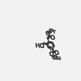 CC(C)OC(=O)C[C@@H]1CCN(C(=O)OC(C)(C)C)CC1CO